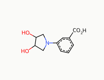 O=C(O)c1cccc(N2CC(O)C(O)C2)c1